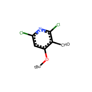 CC(C)(C)Oc1cc(Cl)nc(Cl)c1C=O